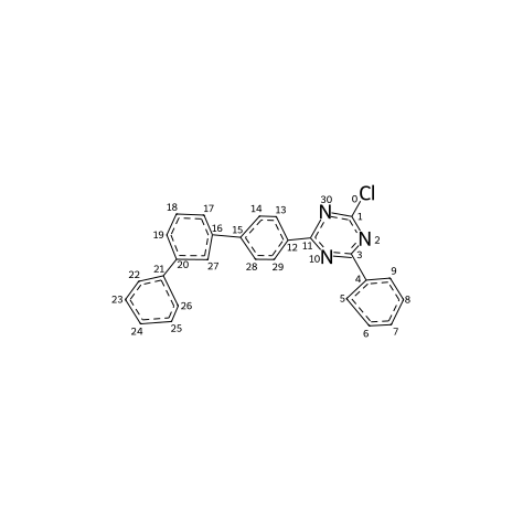 Clc1nc(-c2ccccc2)nc(-c2ccc(-c3cccc(-c4ccccc4)c3)cc2)n1